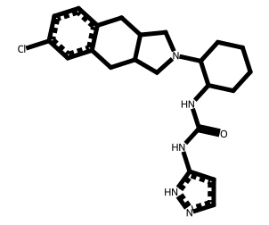 O=C(Nc1ccn[nH]1)NC1CCCCC1N1CC2Cc3ccc(Cl)cc3CC2C1